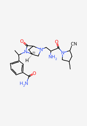 CC1CC(C#N)N(C(=O)C(N)CN2C[C@@H]3CC2C(=O)N3C(C)c2cccc(C(N)=O)c2)C1